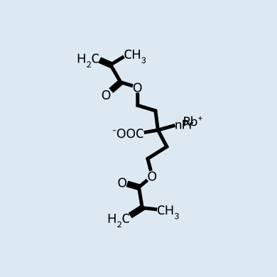 C=C(C)C(=O)OCCC(CCC)(CCOC(=O)C(=C)C)C(=O)[O-].[Rb+]